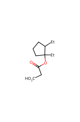 CCC1CCCC1(CC)OC(=O)CC(=O)O